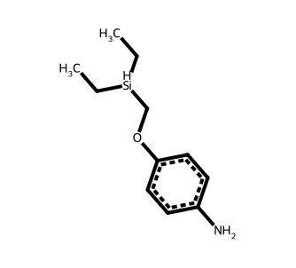 CC[SiH](CC)COc1ccc(N)cc1